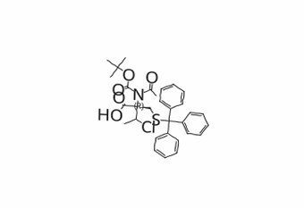 CC(=O)N(C(=O)OC(C)(C)C)[C@@](CSC(c1ccccc1)(c1ccccc1)c1ccccc1)(C(=O)O)C(C)Cl